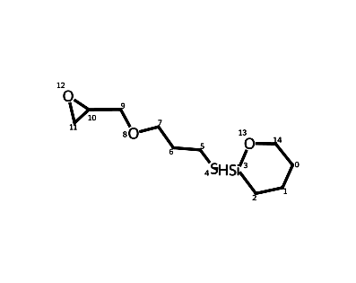 C1CC[SiH](SCCCOCC2CO2)OC1